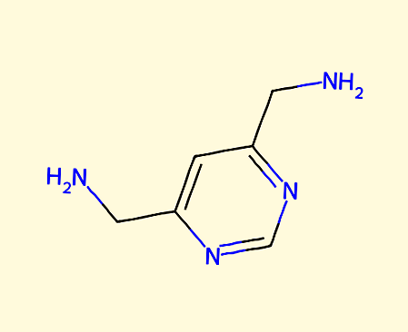 NCc1cc(CN)ncn1